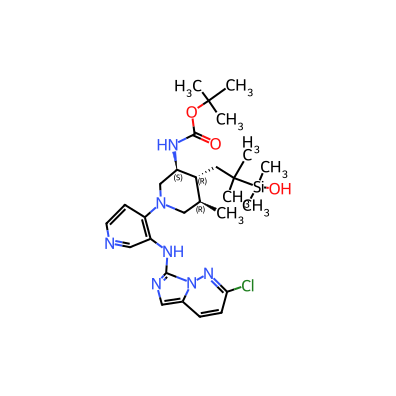 C[C@H]1CN(c2ccncc2Nc2ncc3ccc(Cl)nn23)C[C@@H](NC(=O)OC(C)(C)C)[C@@H]1CC(C)(C)[Si](C)(C)O